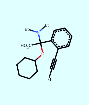 CCC#Cc1ccccc1C(OC1CCCCC1)(C(=O)O)N(CC)CC